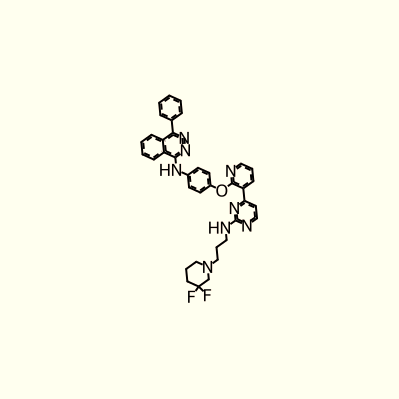 FC1(F)CCCN(CCCNc2nccc(-c3cccnc3Oc3ccc(Nc4nnc(-c5ccccc5)c5ccccc45)cc3)n2)C1